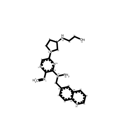 C=Nc1ncc(N2CC[C@@H](NCCO)C2)nc1N(N)Cc1ccc2ncccc2c1